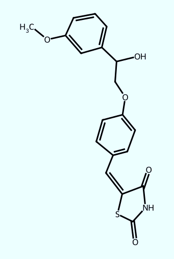 COc1cccc(C(O)COc2ccc(/C=C3/SC(=O)NC3=O)cc2)c1